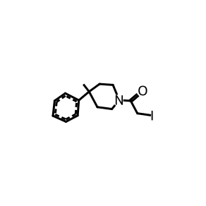 CC1(c2ccccc2)CCN(C(=O)CI)CC1